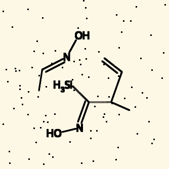 C=CC(C)C([SiH3])=NO.CC=NO